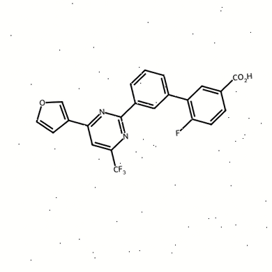 O=C(O)c1ccc(F)c(-c2cccc(-c3nc(-c4ccoc4)cc(C(F)(F)F)n3)c2)c1